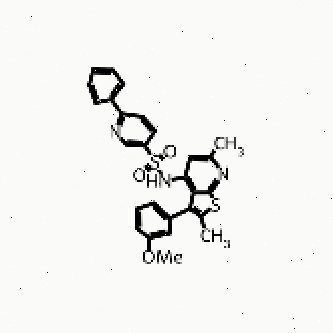 COc1cccc(-c2c(C)sc3nc(C)cc(NS(=O)(=O)c4ccc(-c5ccccc5)nc4)c23)c1